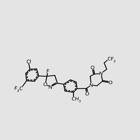 Cc1cc(C2=NOC(F)(c3cc(Cl)cc(C(F)(F)F)c3)C2)ccc1C(=O)N1CC(=O)N(CCC(F)(F)F)C(=O)C1